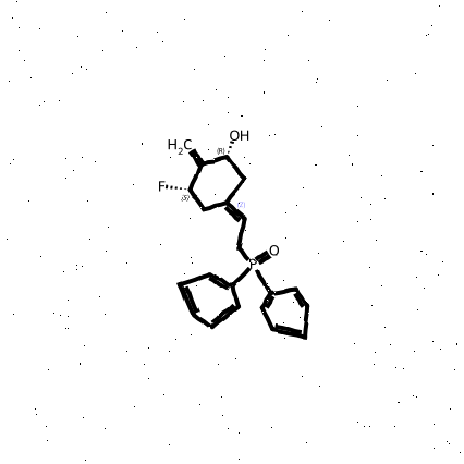 C=C1[C@H](O)C/C(=C/CP(=O)(c2ccccc2)c2ccccc2)C[C@@H]1F